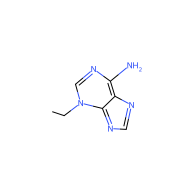 CCn1cnc(N)c2ncnc1-2